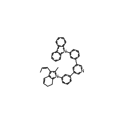 C/C=C\c1c2c(n(-c3cccc(-c4cncc(-c5cccc(-n6c7ccccc7c7ccccc76)c5)c4)c3)c1C)CCC=C2